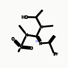 C=C(/N=C(\N(C)C(C)O)N(C)S(C)(=O)=O)C(C)C